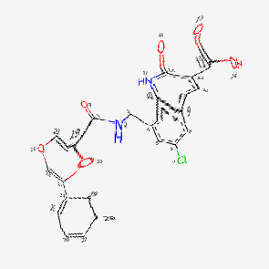 O=C(NCc1cc(Cl)cc2cc(C(=O)O)c(=O)[nH]c12)C1=COC=C(C2=CC=CCC2)O1